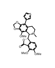 COc1ccc2c(c1OC)C(=O)O[C@@H]2[C@H]1c2c(c(-c3ccsc3)c3c(c2OC)OCO3)CCN1C